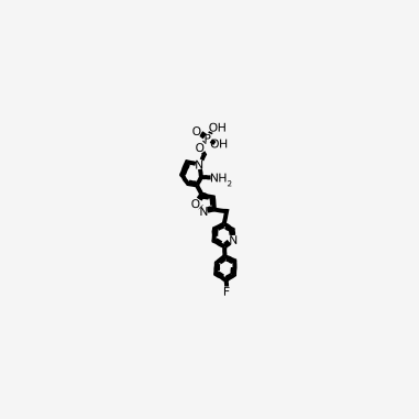 NC1C(c2cc(Cc3ccc(-c4ccc(F)cc4)nc3)no2)=CC=CN1COP(=O)(O)O